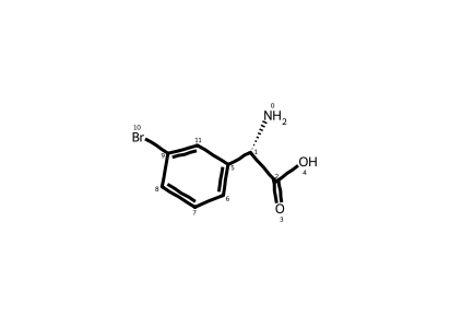 N[C@H](C(=O)O)c1cccc(Br)c1